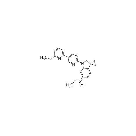 CCc1cccc(-c2cnc(N3CC4(CC4)c4ccc([S+]([O-])CC)cc43)nc2)n1